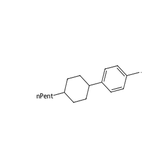 [CH2]c1ccc(C2CCC(CCCCC)CC2)cc1